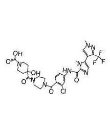 Cn1cc(-c2cnc(C(=O)Nc3ccc(C(=O)N4CCN(C(=O)C5(O)CCN(C(=O)O)CC5)CC4)c(Cl)c3)n2C)c(C(F)(F)F)n1